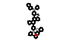 C[Si]1(C)c2cc(N(c3ccccc3)c3ccc4ccccc4c3)ccc2-c2cc3c4ccccc4c(-c4ccc(N(c5ccccc5-c5ccccc5)c5cccc6c5oc5ccccc56)cc4)cc3c3cccc1c23